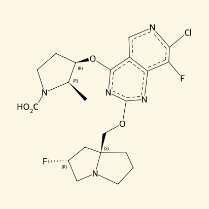 C[C@@H]1[C@H](Oc2nc(OC[C@@]34CCCN3C[C@H](F)C4)nc3c(F)c(Cl)ncc23)CCN1C(=O)O